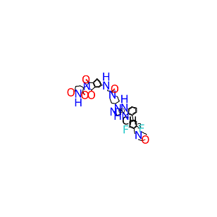 CNc1c(N[C@@H]2CC=NN2C2CCN(C(=O)CNc3ccc4c(c3)C(=O)N(C3CCC(=O)NC3=O)C4=O)CC2)cccc1-c1cc(F)c(CN2CCOCC2)c(F)c1